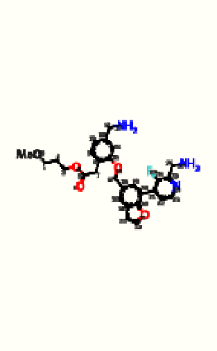 COCCCOC(=O)Cc1ccc(CN)cc1OCc1cc(-c2ccnc(CN)c2F)c2occc2c1